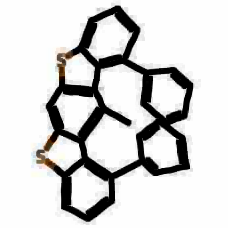 Cc1c2c(cc3sc4cccc(-c5ccccc5)c4c13)sc1cccc(-c3ccccc3)c12